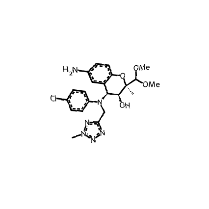 COC(OC)[C@]1(C)Oc2ccc(N)cc2[C@H](N(Cc2nnn(C)n2)c2ccc(Cl)cc2)[C@@H]1O